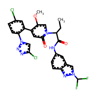 CCC(C(=O)Nc1ccc2nn(C(F)F)cc2c1)n1cc(OC)c(-c2cc(Cl)ccc2-n2cc(Cl)nn2)cc1=O